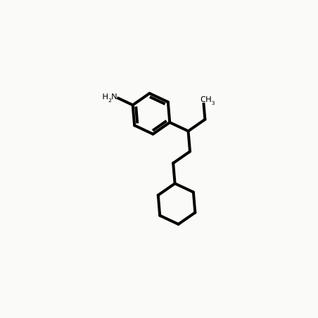 CCC(CCC1CCCCC1)c1ccc(N)cc1